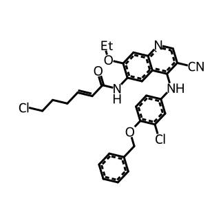 CCOc1cc2ncc(C#N)c(Nc3ccc(OCc4ccccc4)c(Cl)c3)c2cc1NC(=O)C=CCCCCl